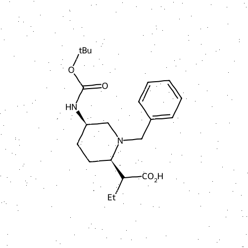 CCC(C(=O)O)[C@H]1CC[C@@H](NC(=O)OC(C)(C)C)CN1Cc1ccccc1